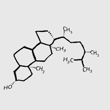 CC(C)[C@@H](C)CC[C@@H](C)[C@H]1CCC2C3CCC4C[C@@H](O)CC[C@]4(C)C3CC[C@@]21C